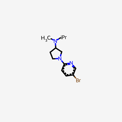 CC(C)N(C)C1CCN(c2ccc(Br)cn2)C1